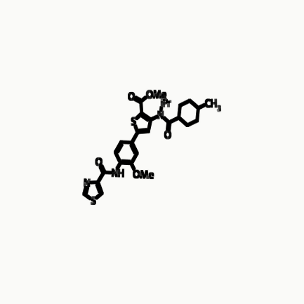 COC(=O)c1sc(-c2ccc(NC(=O)c3cscn3)c(OC)c2)cc1N(C(=O)C1CCC(C)CC1)C(C)C